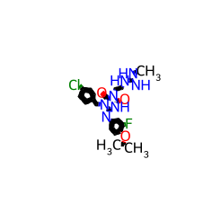 CNC(=N)NCCn1c(=O)[nH]/c(=N\c2ccc(OC(C)C)c(F)c2)n(Cc2ccc(Cl)cc2)c1=O